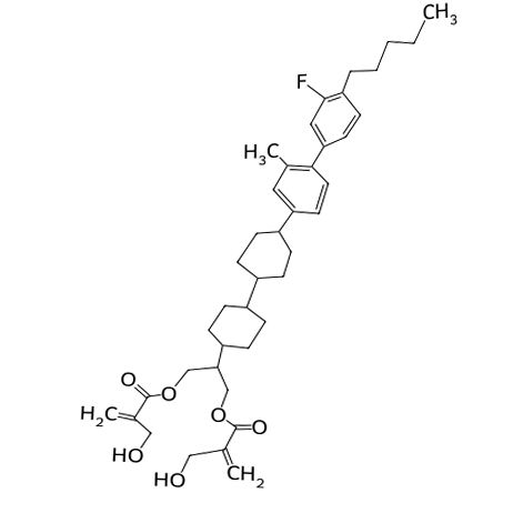 C=C(CO)C(=O)OCC(COC(=O)C(=C)CO)C1CCC(C2CCC(c3ccc(-c4ccc(CCCCC)c(F)c4)c(C)c3)CC2)CC1